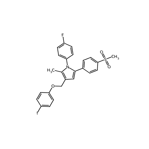 Cc1c(COc2ccc(I)cc2)cc(-c2ccc(S(C)(=O)=O)cc2)n1-c1ccc(F)cc1